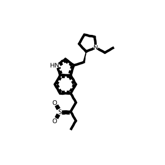 CCC(Cc1ccc2[nH]cc(C[C@H]3CCCN3CC)c2c1)=S(=O)=O